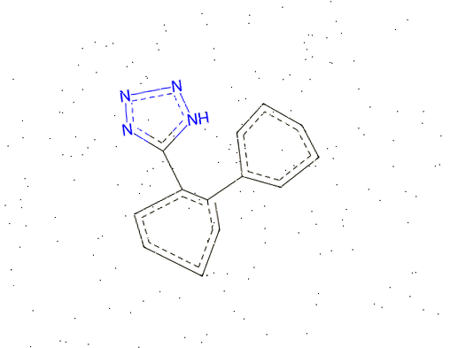 [c]1ccc(-c2nnn[nH]2)c(-c2ccccc2)c1